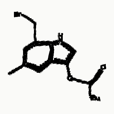 Cc1cc(CBr)c2[nH]cc(OC(=O)C(C)(C)C)c2c1